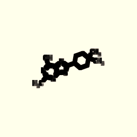 Cc1nc(O)c2nc(C3CCC(C)(C)CC3)sc2n1